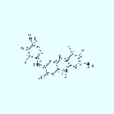 CNC1=CC(=O)C(Nc2ccc(N)c(C)c2C)=C/C1=N/c1ccc(N)c(C)c1C